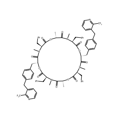 CC(C)C[C@H]1C(=O)O[C@H](Cc2ccc(Cc3cccnc3C(F)(F)F)cc2)C(=O)N(C)[C@@H](CC(C)C)C(=O)O[C@H](C)C(=O)N(C)[C@@H](CC(C)C)C(=O)O[C@H](Cc2ccc(Cc3cccnc3C(F)(F)F)cc2)C(=O)N(C)[C@@H](CC(C)C)C(=O)O[C@H](C)C(=O)N1C